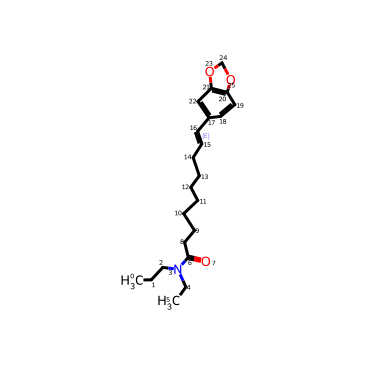 CCCN(CC)C(=O)CCCCCCC/C=C/c1ccc2c(c1)OCO2